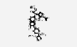 CO[C@@H]1COC[C@]1(C)N1CCC(c2cc3nc(N(C(=O)OC(C)(C)C)c4cnn(C5CC5)c4C)ncc3cc2Cl)CC1